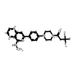 CNc1nc(-c2ccc(N3CCN(C(=O)CC(F)(F)F)CC3)cc2)cc2nccnc12